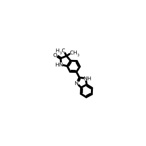 CC1(C)C(=O)Nc2cc(-c3nc4ccccc4[nH]3)ccc21